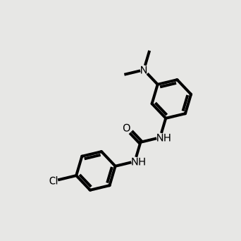 CN(C)c1cccc(NC(=O)Nc2ccc(Cl)cc2)c1